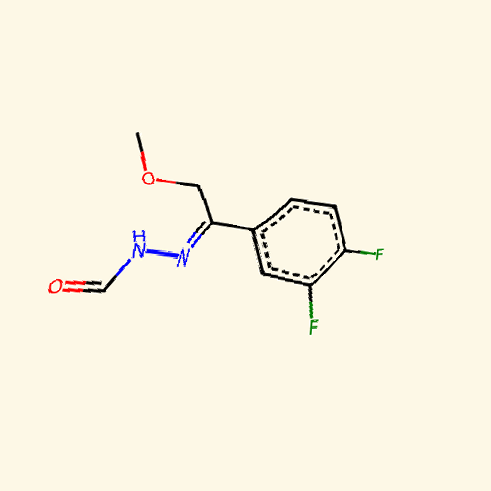 COC/C(=N\NC=O)c1ccc(F)c(F)c1